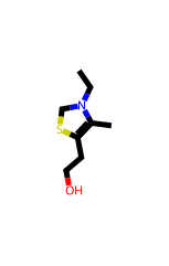 CCN1CSC(CCO)=C1C